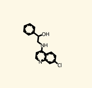 OC(CNc1ccnc2cc(Cl)ccc12)c1ccccc1